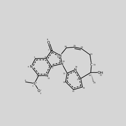 C[S+]([O-])c1ncc2c(=O)n3n(c2n1)-c1cccc(n1)[C@](C)(O)CCC=CC3